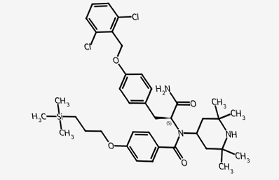 CC1(C)CC(N(C(=O)c2ccc(OCCC[Si](C)(C)C)cc2)[C@@H](Cc2ccc(OCc3c(Cl)cccc3Cl)cc2)C(N)=O)CC(C)(C)N1